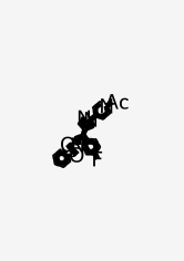 CC(=O)N1CCC(n2cc(-c3cn(S(=O)(=O)c4ccccc4)c4cc(F)ccc34)cn2)CC1